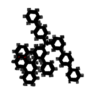 c1ccc(-c2ccc(-c3cccc(N(c4ccc(-c5ccccc5)cc4)c4cc(-c5ccccc5)c(-c5cc6ccccc6c6ccccc56)c(-c5ccccc5)c4)c3)cc2)cc1